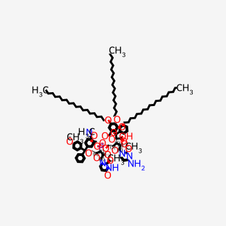 CCCCCCCCCCCCCCCCCCOc1cc(C(=O)OC(C(=O)O)(C(=O)c2ccccc2)[C@@H]2[C@@H](OC)[C@H](n3ccc(N)nc3=O)O[C@@H]2COP(=O)(OCCC#N)[C@@H]2[C@H](OC)[C@H](n3ccc(=O)[nH]c3=O)O[C@@H]2COC(c2ccccc2)(c2ccc(OC)cc2)c2ccc(OC)cc2)cc(OCCCCCCCCCCCCCCCCCC)c1OCCCCCCCCCCCCCCCCCC